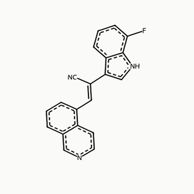 N#C/C(=C\c1cccc2cnccc12)c1c[nH]c2c(F)cccc12